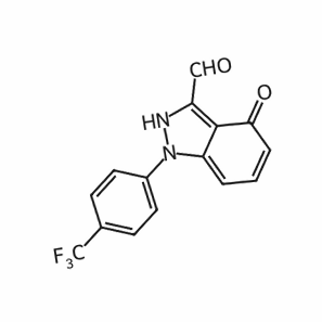 O=Cc1[nH]n(-c2ccc(C(F)(F)F)cc2)c2cccc(=O)c1-2